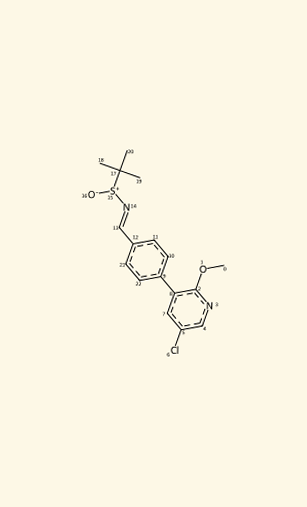 COc1ncc(Cl)cc1-c1ccc(C=N[S+]([O-])C(C)(C)C)cc1